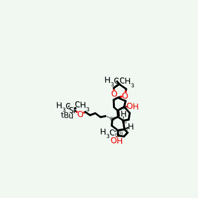 CC1(C)COC2(CCC3=C4[C@@H](CCCCCO[Si](C)(C)C(C)(C)C)C[C@]5(C)[C@@H](O)CC[C@H]5[C@@H]4CC[C@@]3(O)C2)OC1